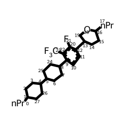 CCCC1CCC(C2CCC(c3ccc(C4CCC(CCC)OC4)c(F)c3C(F)(F)F)CC2)CC1